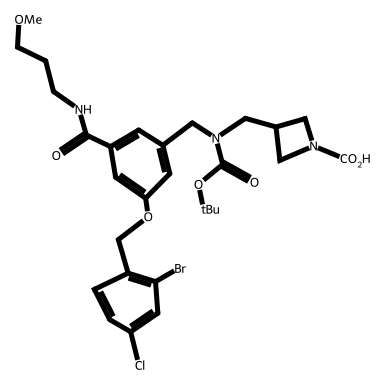 COCCCNC(=O)c1cc(CN(CC2CN(C(=O)O)C2)C(=O)OC(C)(C)C)cc(OCc2ccc(Cl)cc2Br)c1